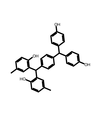 Cc1ccc(O)c(C(c2ccc(C(c3ccc(O)cc3)c3ccc(O)cc3)cc2)c2cc(C)ccc2O)c1